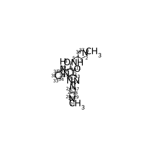 CN1CCC(CNC(=O)c2c(=O)c3cnc(N4CC5CN(C)CC5C4)nc3n3c2[nH]c2ccccc23)CC1